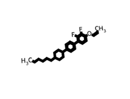 C/C=C\Oc1ccc(-c2ccc(C3CCC(CCCCCC)CC3)cc2)c(F)c1F